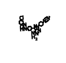 CN1CCN(C2CCC(n3nc(-c4ccc(Nc5nc6cc(Cl)ccc6o5)cc4)c4c(N)ncnc43)CC2)CC1